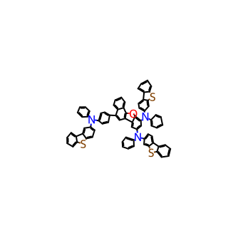 c1ccc(N(c2ccc(-c3cc4c5cc(N(c6ccccc6)c6ccc7c(c6)sc6ccccc67)cc(N(c6ccccc6)c6ccc7c(c6)sc6ccccc67)c5oc4c4ccccc34)cc2)c2ccc3sc4ccccc4c3c2)cc1